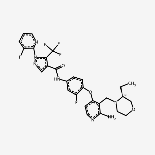 CC[C@H]1COCCN1Cc1c(Oc2ccc(NC(=O)c3cnn(-c4ncccc4F)c3C(F)(F)F)cc2F)ccnc1N